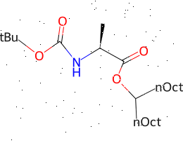 CCCCCCCCC(CCCCCCCC)OC(=O)[C@H](C)NC(=O)OC(C)(C)C